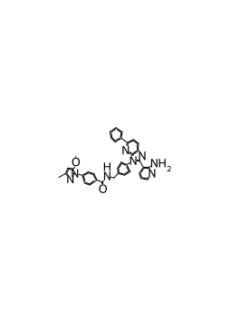 COc1cc(C)nn1-c1ccc(C(=O)NCc2ccc(-n3c(-c4cccnc4N)nc4ccc(-c5ccccc5)nc43)cc2)cc1